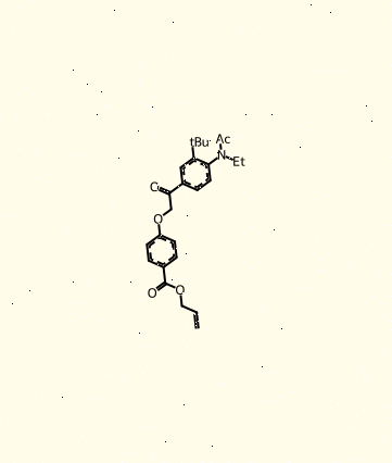 C=CCOC(=O)c1ccc(OCC(=O)c2ccc(N(CC)C(C)=O)c(C(C)(C)C)c2)cc1